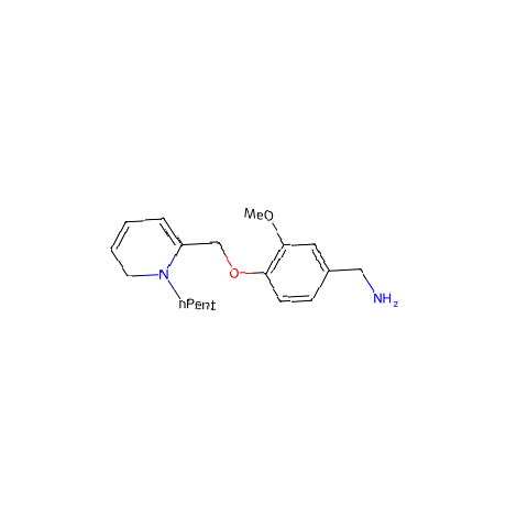 CCCCCN1CC=CC=C1COc1ccc(CN)cc1OC